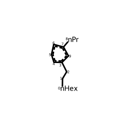 CCCCCCCCc1cccc(CCC)c1